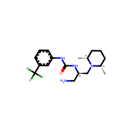 C[C@@H]1CCC[C@H](C)N1C[C@@H](CN)NC(=O)Nc1cccc(C(F)(F)F)c1